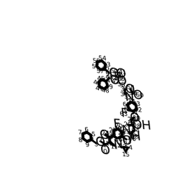 O=C(OCc1ccccc1)c1cn(C2CC2)c2c3c(c(F)cc2c1=O)N1C[C@](O)(COc2ccc(N4C[C@H](COP(=O)(OCc5ccccc5)OCc5ccccc5)OC4=O)cc2F)C[C@H]1CO3